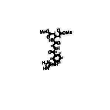 COC(=O)CC(CC(=O)OC)NC(=O)CNC(=O)c1cccc(NC(=N)N)c1